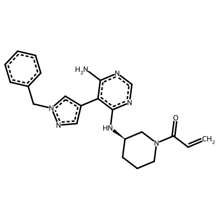 C=CC(=O)N1CCC[C@@H](Nc2ncnc(N)c2-c2cnn(Cc3ccccc3)c2)C1